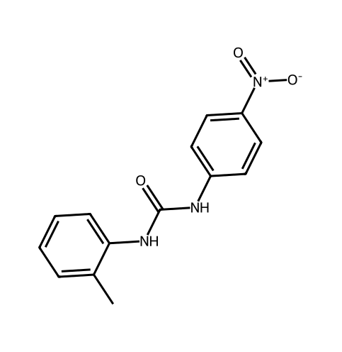 Cc1ccccc1NC(=O)Nc1ccc([N+](=O)[O-])cc1